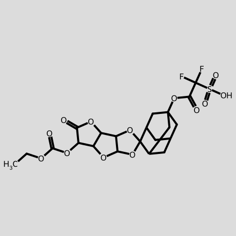 CCOC(=O)OC1C(=O)OC2C3OC4(OC3OC12)C1CC2CC4CC(OC(=O)C(F)(F)S(=O)(=O)O)(C2)C1